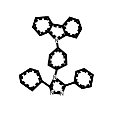 c1ccc(-c2nnc(-c3ccccc3)n2-c2ccc(-n3c4ccccc4c4ccccc43)cc2)cc1